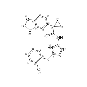 O=C(Nc1ncc(Cc2ccccc2Cl)[nH]1)C1(c2ccc3c(c2)OCO3)CC1